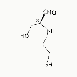 O=C[C@H](CO)NCCS